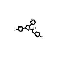 O=C(CC1C=CC(Cl)=CC1)N1N=C(c2ccc(Cl)cc2)CC1c1cccnc1